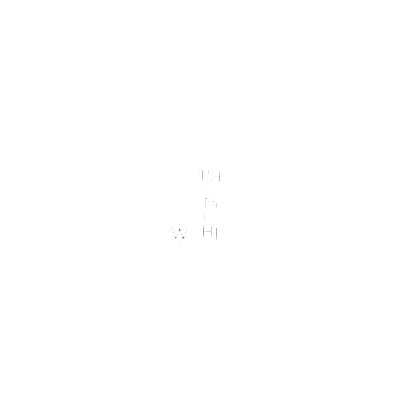 [Hf].[Ta].[TlH].[W]